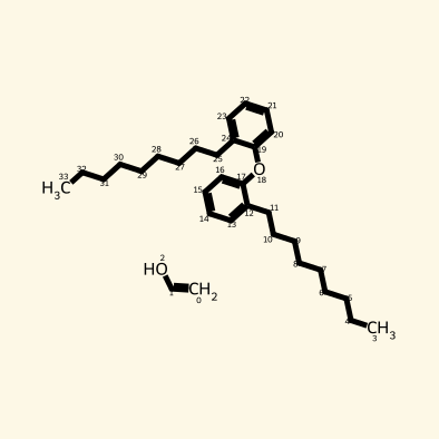 C=CO.CCCCCCCCCc1ccccc1Oc1ccccc1CCCCCCCCC